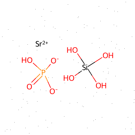 O=P([O-])([O-])O.O[Si](O)(O)O.[Sr+2]